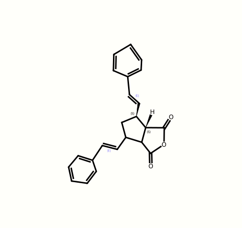 O=C1OC(=O)[C@@H]2C1C(/C=C/c1ccccc1)C[C@H]2/C=C/c1ccccc1